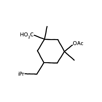 CC(=O)OC1(C)CC(CC(C)C)CC(C)(C(=O)O)C1